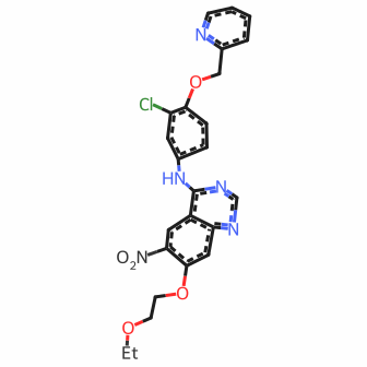 CCOCCOc1cc2ncnc(Nc3ccc(OCc4ccccn4)c(Cl)c3)c2cc1[N+](=O)[O-]